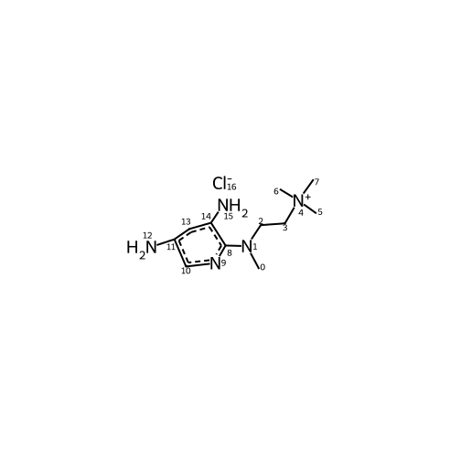 CN(CC[N+](C)(C)C)c1ncc(N)cc1N.[Cl-]